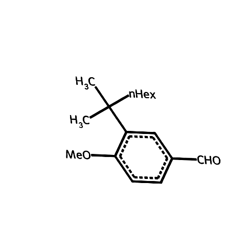 CCCCCCC(C)(C)c1cc(C=O)ccc1OC